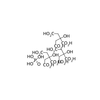 O=C(O)CC(O)(CC(=O)O)C(=O)O.O=C(O)CC(O)(CC(=O)O)C(=O)O.O=C(O)CC(O)(CC(=O)O)C(=O)O.O=P(O)(O)O